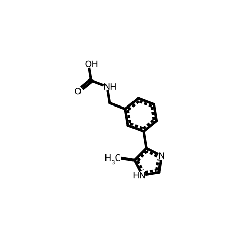 Cc1[nH]cnc1-c1cccc(CNC(=O)O)c1